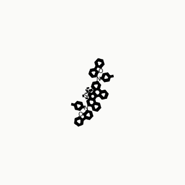 Cc1ccc(N(c2ccc3c4c(c5ccccc5c3c2)-c2c(cc(N(c3ccc(C)cc3)c3cccc5c3oc3ccccc35)c3ccccc23)C4([Si](C)(C)C)[Si](C)(C)C)c2cccc3c2oc2ccccc23)cc1